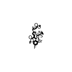 CCOC(=O)C1=C2C[C@@H](CN(C)CC(=O)OC)CN2C(c2nccs2)=N[C@H]1c1ccc(F)cc1Br